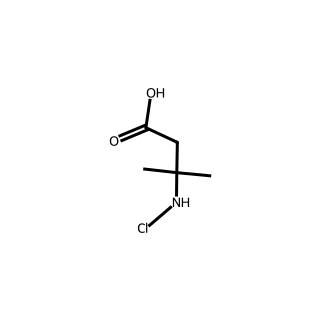 CC(C)(CC(=O)O)NCl